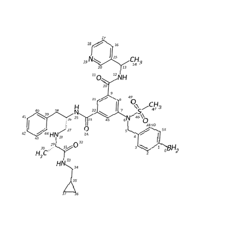 Bc1ccc(CN(c2cc(C(=O)NC(C)c3cccnc3)cc(C(=O)N[C@H](CN[C@@H](C)C(=O)NCC3CC3)Cc3ccccc3)c2)S(C)(=O)=O)cc1